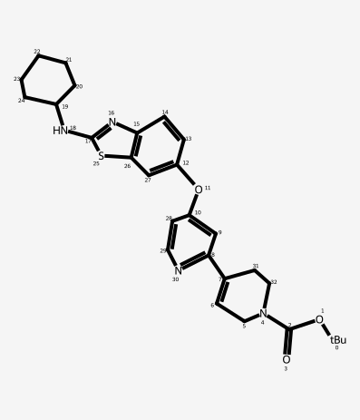 CC(C)(C)OC(=O)N1CC=C(c2cc(Oc3ccc4nc(NC5CCCCC5)sc4c3)ccn2)CC1